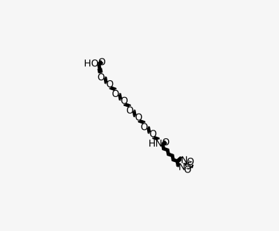 CS(=O)(=O)c1ncc(CCCCCC(=O)NCCOCCOCCOCCOCCOCCOCCOCCOC#CC(=O)O)cn1